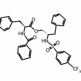 O=C(N[C@@H](Cc1ccccc1)C(=O)OC[C@H](Cc1ccccc1)NS(=O)(=O)c1ccc(C(F)(F)F)cc1)c1ccccc1